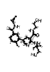 Cc1ccc(C(=O)NC2CC2)cc1-c1cnc(NC(C)(C)CO)c(C(=O)NCCO)c1